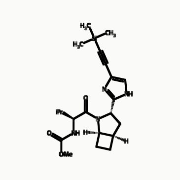 COC(=O)N[C@H](C(=O)N1[C@@H]2CC[C@@H]2C[C@H]1c1nc(C#C[Si](C)(C)C)c[nH]1)C(C)C